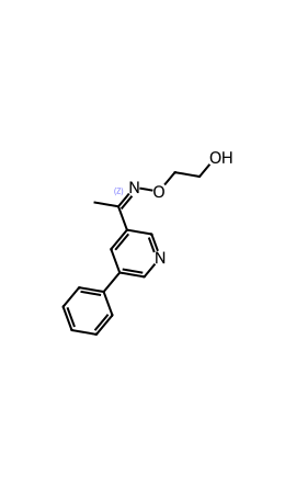 C/C(=N/OCCO)c1cncc(-c2ccccc2)c1